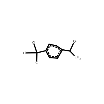 CC([O])c1ccc(C(Cl)(Cl)Cl)cc1